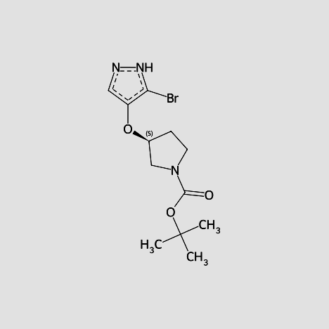 CC(C)(C)OC(=O)N1CC[C@H](Oc2cn[nH]c2Br)C1